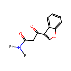 CCN(CC)C(=O)CC(=O)c1coc2ccccc12